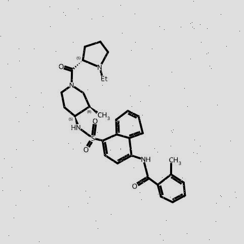 CCN1CCC[C@H]1C(=O)N1CC[C@H](NS(=O)(=O)c2ccc(NC(=O)c3ccccc3C)c3ccccc23)[C@H](C)C1